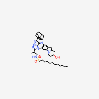 CCCCCCCCCCCCS(=O)(=O)NCC(C)c1nc2n(n1)N=C(C13CC4CC(CC(C4)C1)C3)/C2=N/c1cc2c(cc1C)N(CCCO)C(C)C2